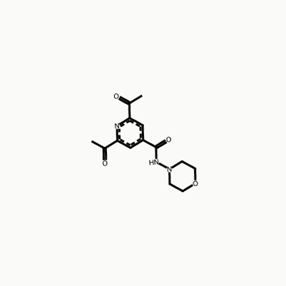 CC(=O)c1cc(C(=O)NN2CCOCC2)cc(C(C)=O)n1